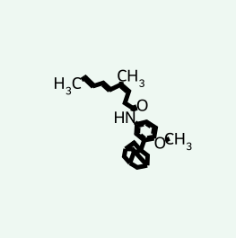 CC=CC=CC(C)=CCC(=O)Nc1ccc(OC)c(C23CC4CC(CC(C4)C2)C3)c1